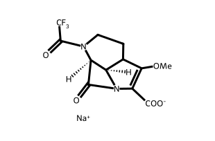 COC1=C(C(=O)[O-])N2C(=O)[C@@H]3[C@H]2C1CCN3C(=O)C(F)(F)F.[Na+]